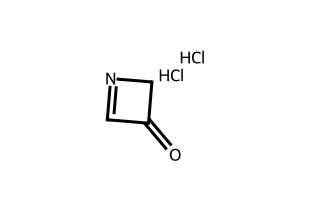 Cl.Cl.O=C1C=NC1